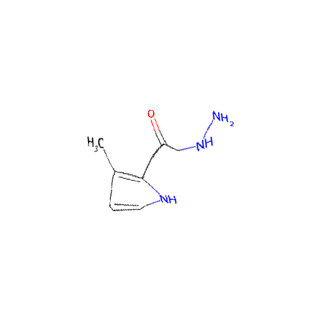 Cc1cc[nH]c1C(=O)NN